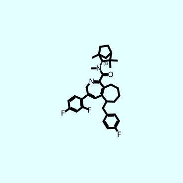 CN(C(=O)C1=NCC(c2ccc(F)cc2F)=CC2=C1CCCCC2Cc1ccc(F)cc1)[C@H]1C2(C)CCC(C2)C1(C)C